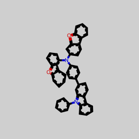 c1ccc(-n2c3ccccc3c3ccc(-c4ccc(N(c5ccc6c(c5)oc5ccccc56)c5cccc6oc7ccccc7c56)cc4)cc32)cc1